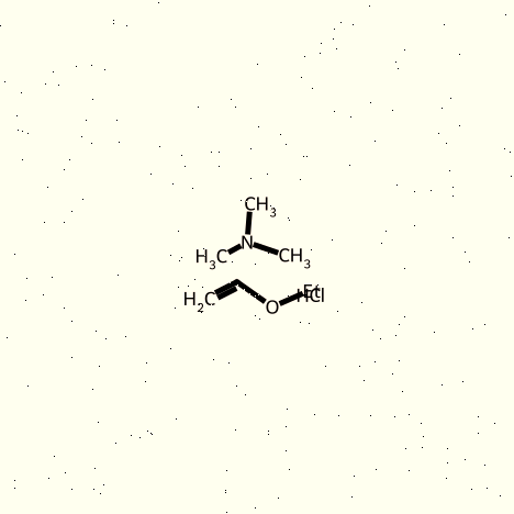 C=COCC.CN(C)C.Cl